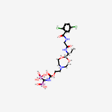 CC(C)C[C@@H](NC(=O)CNC(=O)c1cc(Cl)ccc1Cl)B1OCCN(CCOC(=O)NC([PH](=O)O)P(=O)(O)O)CCO1